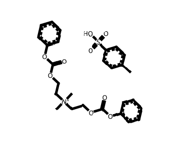 C[N+](C)(CCOC(=O)Oc1ccccc1)CCOC(=O)Oc1ccccc1.Cc1ccc(S(=O)(=O)O)cc1